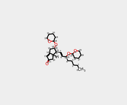 CCCCC[C@@H](C=C[C@H]1[C@@H]2CC(=O)C=C2C[C@H]1OC1CCCCO1)OC1CCCCO1